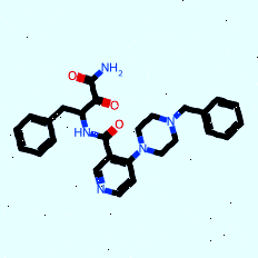 NC(=O)C(=O)C(Cc1ccccc1)NC(=O)c1cnccc1N1CCN(Cc2ccccc2)CC1